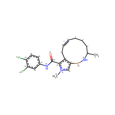 CC1CCC/C=C\Cc2c(cn(C)c2C(=O)Nc2ccc(F)c(F)c2)SN1